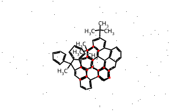 CC(C)(C)c1cc(-c2cccc3cccc(-c4ccccc4N(c4ccccc4-c4ccccc4-c4ccccc4-c4ccccc4)c4cccc5c4-c4ccccc4C5(C)c4ccccc4)c23)cc(C(C)(C)C)c1